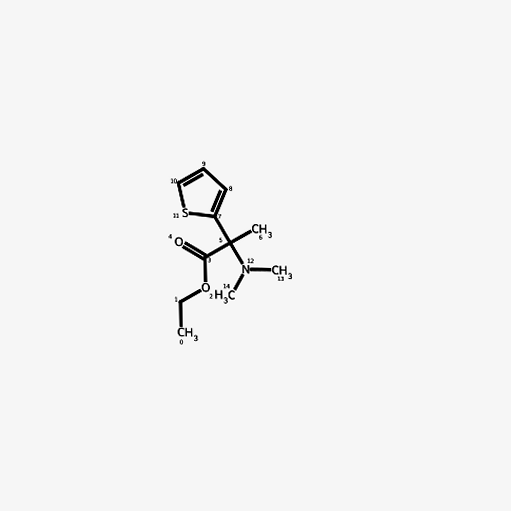 CCOC(=O)C(C)(c1cccs1)N(C)C